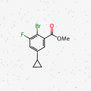 COC(=O)c1cc(C2CC2)cc(F)c1Br